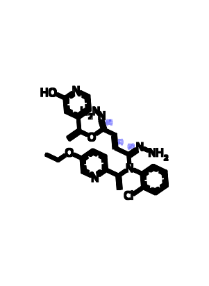 C=C(OC(/C=C/C(=N/N)N(C(=C)c1ccc(OCC)cn1)c1ccccc1Cl)=N\N)c1ccnc(O)c1